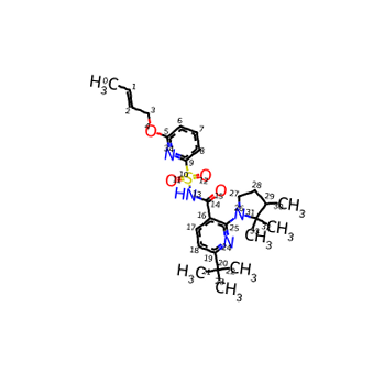 C/C=C/COc1cccc(S(=O)(=O)NC(=O)c2ccc(C(C)(C)C)nc2N2CCC(C)C2(C)C)n1